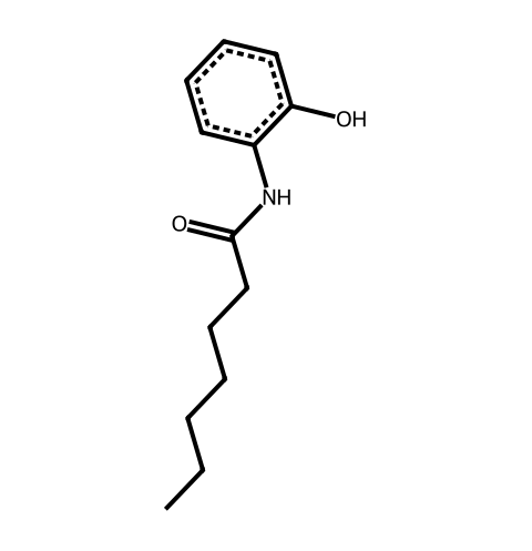 CCCCCCC(=O)Nc1ccccc1O